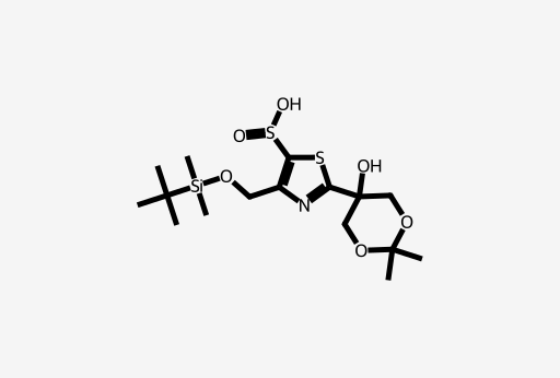 CC1(C)OCC(O)(c2nc(CO[Si](C)(C)C(C)(C)C)c(S(=O)O)s2)CO1